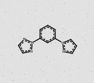 c1cc(-n2cccn2)cc(-n2nccn2)c1